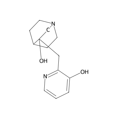 Oc1cccnc1CC1(O)CN2CCC1CC2